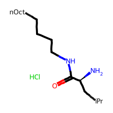 CCCCCCCCCCCCNC(=O)[C@@H](N)CC(C)C.Cl